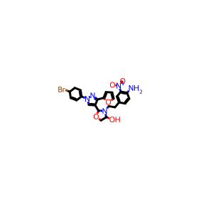 Nc1ccc(CCN2C(O)COC2c2cn(C3=CCC(Br)C=C3)nc2-c2ccco2)cc1[N+](=O)[O-]